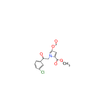 COC(=O)c1cc(OC=O)cn1CC(=O)c1cccc(Cl)c1